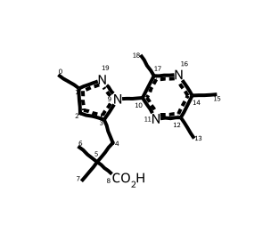 Cc1cc(CC(C)(C)C(=O)O)n(-c2nc(C)c(C)nc2C)n1